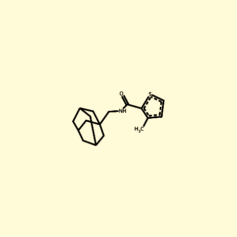 Cc1ccsc1C(=O)NCC12CC3CC(CC(C3)C1)C2